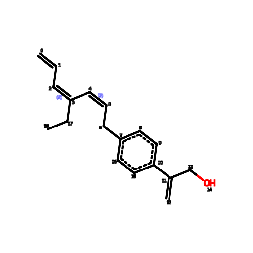 C=C/C=C(\C=C/Cc1ccc(C(=C)CO)cc1)CC